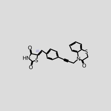 O=C1NC(=O)/C(=C/c2ccc(C#CCN3C(=O)CSc4ccccc43)cc2)S1